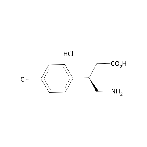 Cl.NC[C@H](CC(=O)O)c1ccc(Cl)cc1